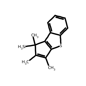 CC1=C(C)C(C)([SiH3])c2c1sc1ccccc21